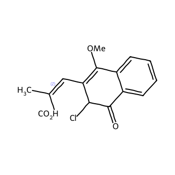 COC1=C(/C=C(/C)C(=O)O)C(Cl)C(=O)c2ccccc21